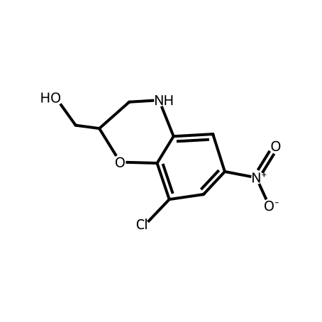 O=[N+]([O-])c1cc(Cl)c2c(c1)NCC(CO)O2